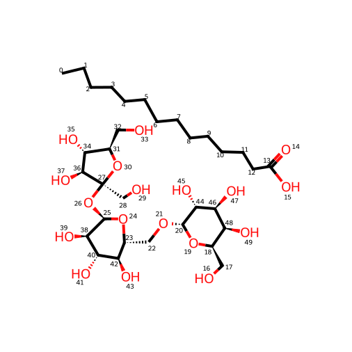 CCCCCCCCCCCCCC(=O)O.OC[C@H]1O[C@H](OC[C@H]2O[C@H](O[C@]3(CO)O[C@H](CO)[C@@H](O)[C@@H]3O)[C@H](O)[C@@H](O)[C@@H]2O)[C@H](O)[C@@H](O)[C@H]1O